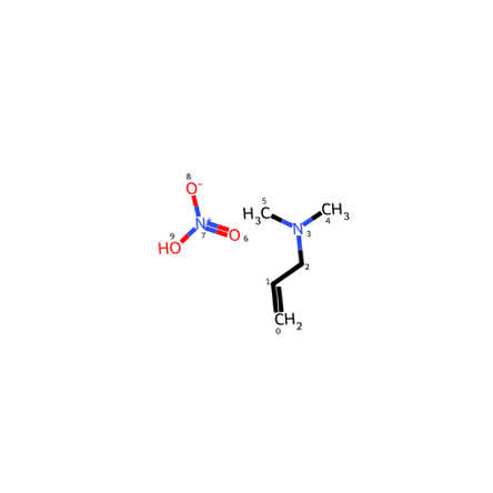 C=CCN(C)C.O=[N+]([O-])O